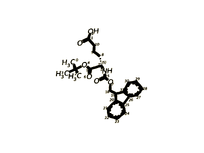 CC(C)(C)OC(=O)[C@H](CCCC(=O)O)NC(=O)OCC1c2ccccc2-c2ccccc21